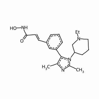 CCN1CCCC(n2c(C)nc(C)c2-c2cccc(C=CC(=O)NO)c2)C1